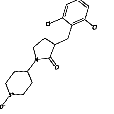 O=C1C(Cc2c(Cl)cccc2Cl)CCN1C1CC[S+]([O-])CC1